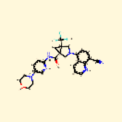 N#Cc1ccc(N2C[C@]3(C(=O)Nc4ccc(N5CCOCC5)cn4)C[C@]3(C(F)(F)F)C2)c2cccnc12